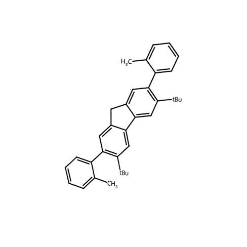 Cc1ccccc1-c1[c]c2c(cc1C(C)(C)C)-c1cc(C(C)(C)C)c(-c3ccccc3C)cc1C2